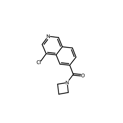 O=C(c1ccc2cncc(Cl)c2c1)N1CCC1